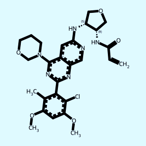 C=CC(=O)N[C@H]1COC[C@H]1Nc1cc2c(N3CCCOC3)nc(-c3c(C)c(OC)cc(OC)c3Cl)nc2cn1